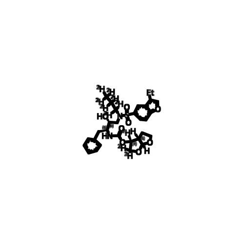 [2H]C([2H])([2H])C([2H])([2H])C([2H])([2H])N(C[C@@H](O)[C@H](Cc1ccccc1)NC(=O)O[C@]1([2H])[C@@H]2CCO[C@@H]2OC1([2H])[2H])S(=O)(=O)c1ccc2occ(CC)c2c1